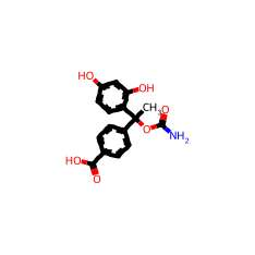 CC(OC(N)=O)(c1ccc(C(=O)O)cc1)c1ccc(O)cc1O